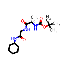 C[C@H](NC(=O)OC(C)(C)C)C(=O)NCC(=O)NC1CCCCC1